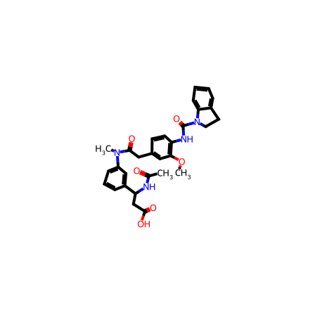 COc1cc(CC(=O)N(C)c2cccc(C(CC(=O)O)NC(C)=O)c2)ccc1NC(=O)N1CCc2ccccc21